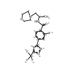 CC(CN1CCOCC1)NC(=O)c1ccc(-c2noc(C(F)(F)F)n2)cc1F